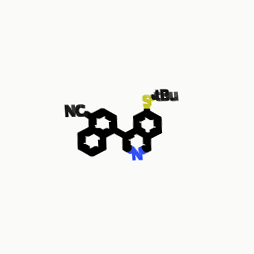 CC(C)(C)Sc1ccc2cncc(-c3ccc(C#N)c4ccccc34)c2c1